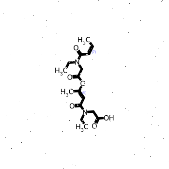 C/C=C\C(=O)N(CC)CC(=O)O/C(C)=C/C(=O)N(CC)CC(=O)O